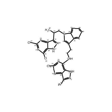 CC(C)c1n[nH]c2c(NCCc3cn(CC(C)c4n[nH]c5c(Cl)nc(Cl)nc45)c4ccccc34)nc(Cl)nc12